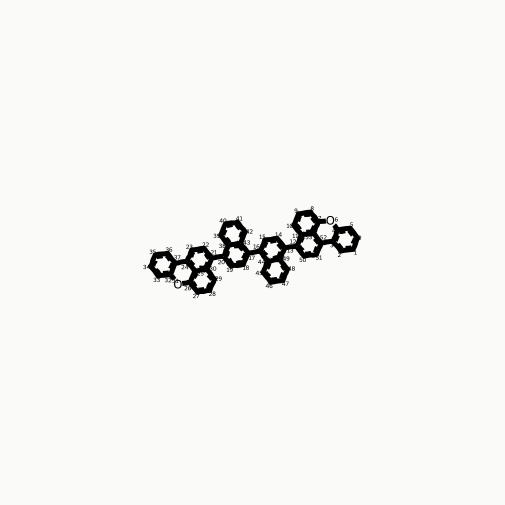 c1ccc2c(c1)Oc1cccc3c(-c4ccc(-c5ccc(-c6ccc7c8c(cccc68)Oc6ccccc6-7)c6ccccc56)c5ccccc45)ccc-2c13